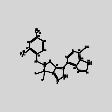 CC1(C)c2n[nH]c(-c3ccc(F)c4[nH]ccc34)c2CN1Cc1ccc(C(F)(F)F)cc1C(F)(F)F